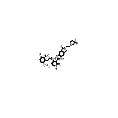 Cc1ccc(F)cc1C[C@H](C)Nc1cc[nH]c(=O)c1-c1nc2cc3c(cc2[nH]1)CN(CCN1CCC(F)(F)C1)C3=O